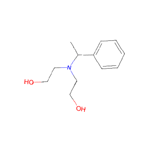 CC(c1ccccc1)N(CCO)CCO